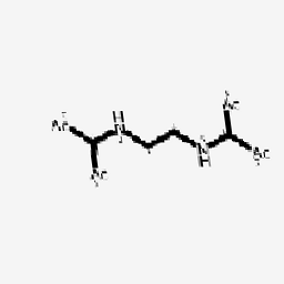 CC(=O)C(NCCNC(C(C)=O)C(C)=O)C(C)=O